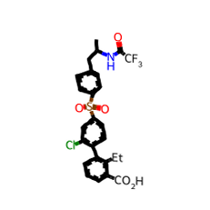 CCc1c(C(=O)O)cccc1-c1ccc(S(=O)(=O)c2ccc(CC(C)NC(=O)C(F)(F)F)cc2)cc1Cl